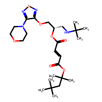 CC(C)(C)CC(C)(C)OC(=O)/C=C/C(=O)O[C@@H](CNC(C)(C)C)COc1nsnc1N1CCOCC1